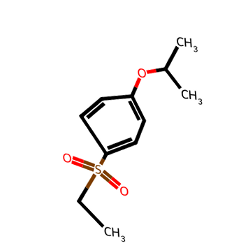 CCS(=O)(=O)c1ccc(OC(C)C)cc1